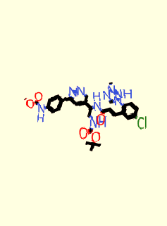 COC(=O)Nc1ccc(-c2cc(C(CNC(=O)OC(C)(C)C)NC(=O)/C=C/c3cc(Cl)ccc3N3C=NN(C)N3)cnn2)cc1